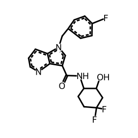 O=C(NC1CCC(F)(F)CC1O)c1cn(Cc2ccc(F)cc2)c2cccnc12